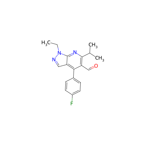 CCn1ncc2c(-c3ccc(F)cc3)c(C=O)c(C(C)C)nc21